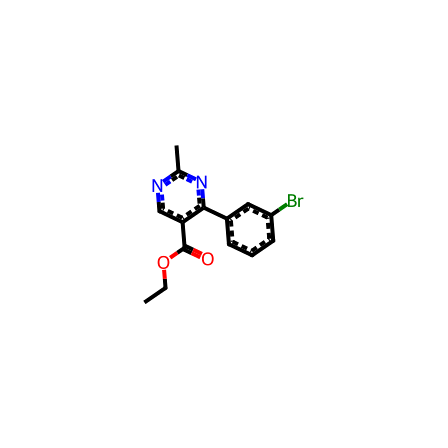 CCOC(=O)c1cnc(C)nc1-c1cccc(Br)c1